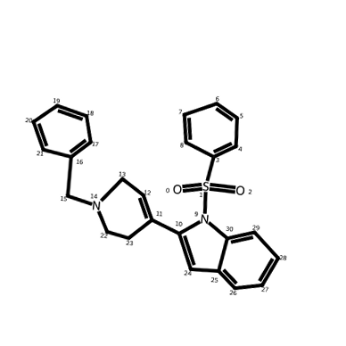 O=S(=O)(c1ccccc1)n1c(C2=CCN(Cc3ccccc3)CC2)cc2ccccc21